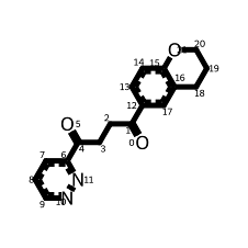 O=C(CCC(=O)c1cccnn1)c1ccc2c(c1)CCCO2